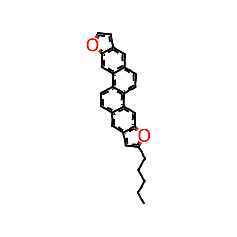 CCCCCc1cc2cc3ccc4c5cc6occc6cc5ccc4c3cc2o1